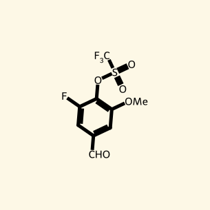 COc1cc(C=O)cc(F)c1OS(=O)(=O)C(F)(F)F